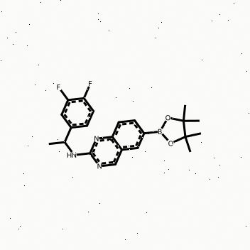 CC(Nc1ncc2cc(B3OC(C)(C)C(C)(C)O3)ccc2n1)c1ccc(F)c(F)c1